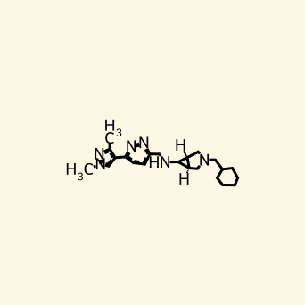 Cc1nn(C)cc1-c1ccc(CNC2[C@@H]3CN(CC4CCCCC4)C[C@@H]23)nn1